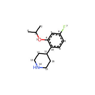 CC(C)Oc1cc(F)ccc1C1CCNCC1